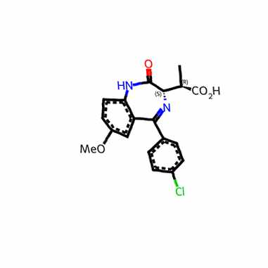 COc1ccc2c(c1)C(c1ccc(Cl)cc1)=N[C@@H]([C@@H](C)C(=O)O)C(=O)N2